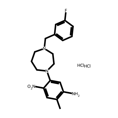 Cc1cc([N+](=O)[O-])c(N2CCCN(Cc3cccc(F)c3)CC2)cc1N.Cl.Cl